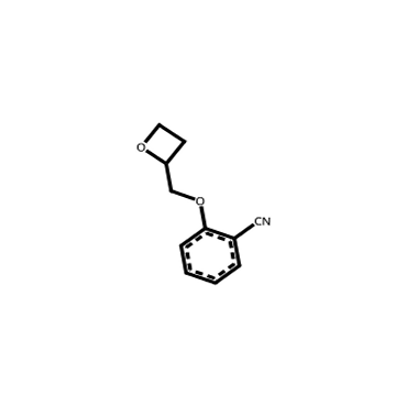 N#Cc1ccccc1OCC1CCO1